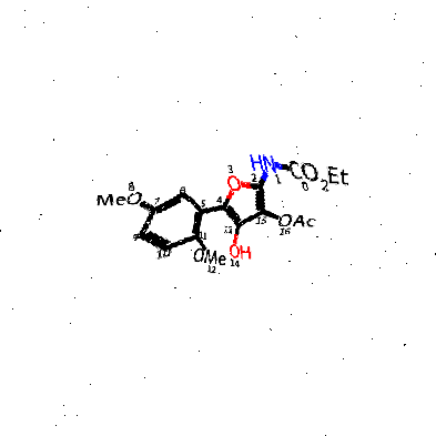 CCOC(=O)Nc1oc(-c2cc(OC)ccc2OC)c(O)c1OC(C)=O